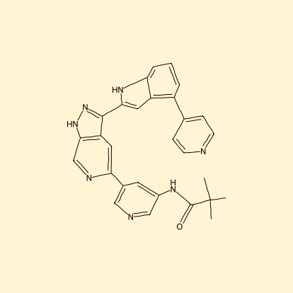 CC(C)(C)C(=O)Nc1cncc(-c2cc3c(-c4cc5c(-c6ccncc6)cccc5[nH]4)n[nH]c3cn2)c1